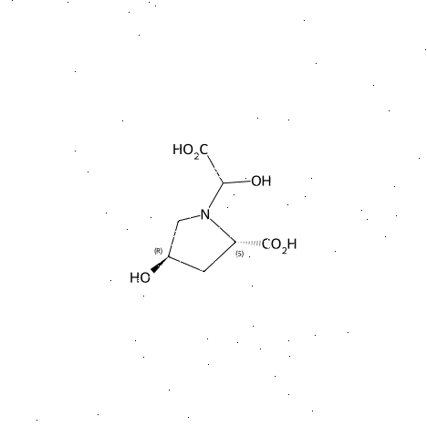 O=C(O)C(O)N1C[C@H](O)C[C@H]1C(=O)O